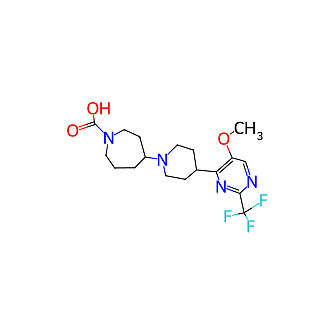 COc1cnc(C(F)(F)F)nc1C1CCN(C2CCCN(C(=O)O)CC2)CC1